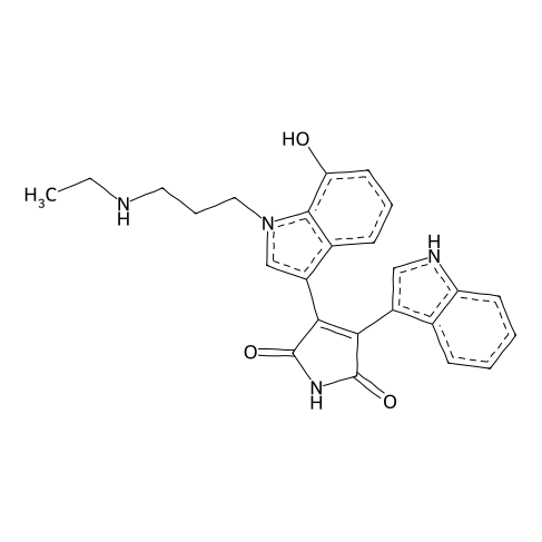 CCNCCCn1cc(C2=C(c3c[nH]c4ccccc34)C(=O)NC2=O)c2cccc(O)c21